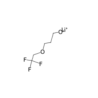 [Li+].[O-]CCCOCC(F)(F)F